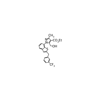 CCOC(=O)c1c(C)nn(-c2cccc3cc(Cc4cccc(C(F)(F)F)c4)sc23)c1CO